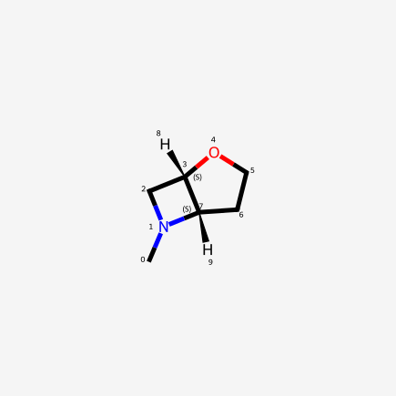 CN1C[C@@H]2OCC[C@@H]21